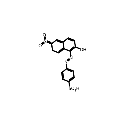 O=S(=O)=C1C=c2ccc(O)c(N=Nc3ccc(S(=O)(=O)O)cc3)c2=CC1